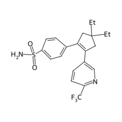 CCC1(CC)CC(c2ccc(S(N)(=O)=O)cc2)=C(c2ccc(C(F)(F)F)nc2)C1